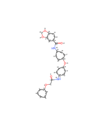 O=C(COc1ccccc1)Nc1ccc(Oc2ccc(NC(=O)c3ccc4c(c3)OCO4)cc2)cc1